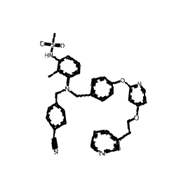 Cc1c(NS(C)(=O)=O)cccc1N(Cc1ccc(C#N)cc1)Cc1ccc(Oc2cc(OCCc3cccnc3)ccn2)cc1